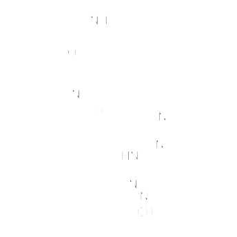 Cn1ccc(Nc2ncnc3ccc(Oc4ccc(OC5CNC5)cn4)cc23)n1